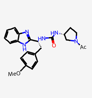 COc1ccc(C[C@@H](NC(=O)N[C@@H]2CCN(C(C)=O)C2)c2nc3ccccc3[nH]2)cc1